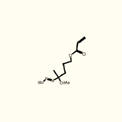 C=CC(=O)OCCCC(C)(N=NC(C)(C)C)OC